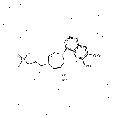 COc1cc2ncnc(N3CCCC(CCCP(=O)([O-])[O-])CC3)c2cc1OC.[Na+].[Na+]